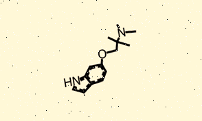 CN(C)C(C)(C)COc1ccc2[c]c[nH]c2c1